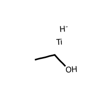 CCO.[H-].[Ti]